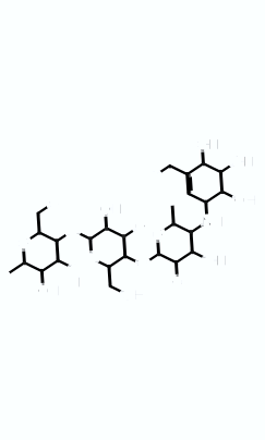 CC1OC(CO)C(OC2OC(CO)C(OC3OC(C)C(NC4C=C(CO)C(O)C(O)C4O)C(O)C3O)C(O)C2O)C(O)C1O